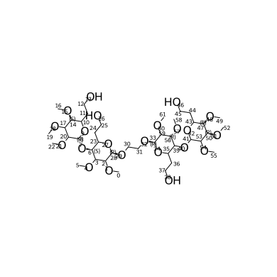 COC1C(OC)[C@@H](O[C@H]2OC(CCO)[C@H](OC)C(OC)C2OC)C(CCO)O[C@H]1OCCO[C@@H]1OC(CCO)C(OC2OC(CCO)[C@@H](OC)[C@@H](OC)C2OC)[C@@H](OC)C1OC